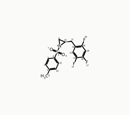 Cc1ccc(S(=O)(=O)N2C[C@H]2Cc2cc(F)c(F)cc2F)cc1